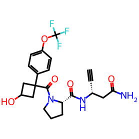 C#C[C@H](CC(N)=O)NC(=O)[C@@H]1CCCN1C(=O)C1(c2ccc(OC(F)(F)F)cc2)CC(O)C1